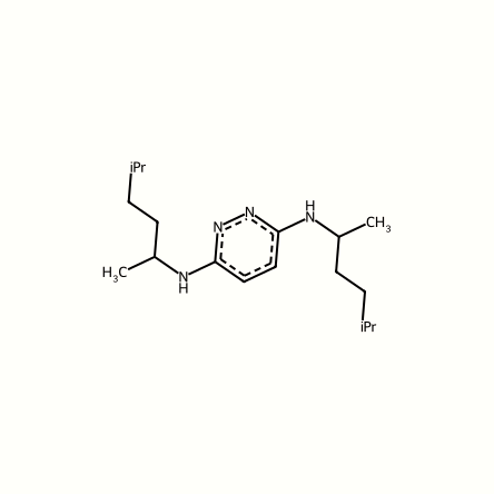 CC(C)CCC(C)Nc1ccc(NC(C)CCC(C)C)nn1